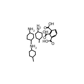 CC1CCC(N)CC1.CC1CCC(N)CC1.CC1CCC(N)CC1.O=C(O)c1cccc(C(=O)O)c1C(=O)O